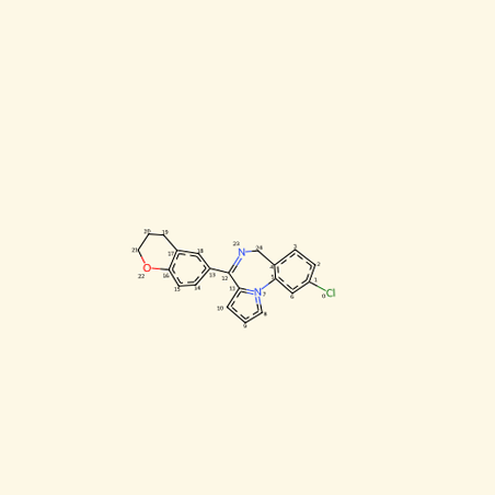 Clc1ccc2c(c1)-n1cccc1C(c1ccc3c(c1)CCCO3)=NC2